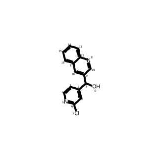 OC(c1ccnc(Cl)c1)c1cnc2ccccc2c1